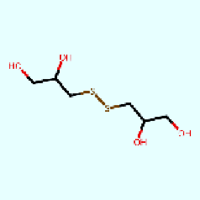 OCC(O)CSSCC(O)CO